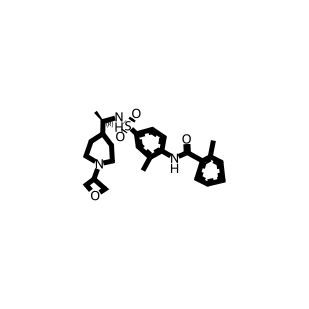 Cc1cc(S(=O)(=O)N[C@H](C)C2CCN(C3COC3)CC2)ccc1NC(=O)c1ccccc1C